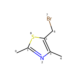 Cc1nc(C)c(CBr)s1